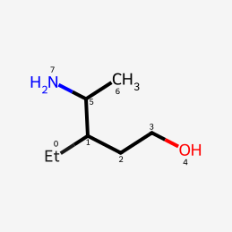 CCC(CCO)C(C)N